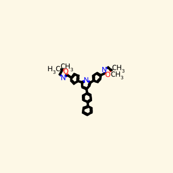 CC1(C)CN=C(c2ccc(-c3cc(-c4ccc(-c5ccccc5)cc4)cc(-c4ccc(C5=NCC(C)(C)O5)cc4)n3)cc2)O1